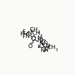 COc1ncnc(C2CC2)c1-c1ncc2cnn(Cc3ccc(-c4nc(C(F)(F)F)cn4C(C)C)cc3CC=O)c2n1